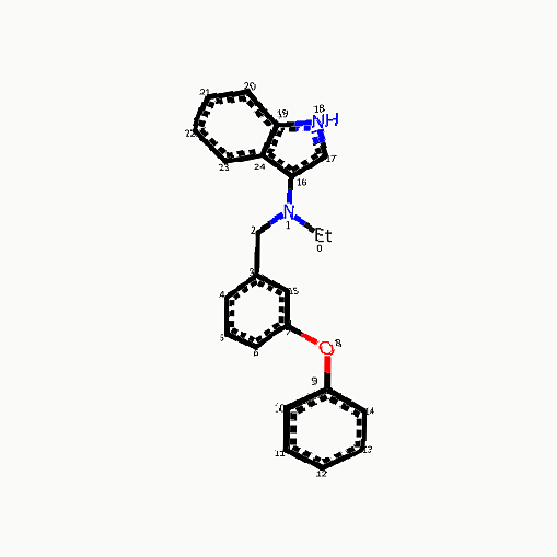 CCN(Cc1cccc(Oc2ccccc2)c1)c1c[nH]c2ccccc12